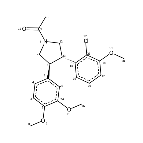 COc1ccc([C@H]2CN(C(C)=O)C[C@@H]2c2cccc(OC)c2Cl)cc1OC